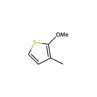 COc1sccc1C